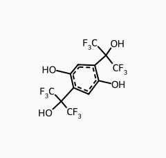 Oc1cc(C(O)(C(F)(F)F)C(F)(F)F)c(O)cc1C(O)(C(F)(F)F)C(F)(F)F